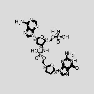 Nc1nc2c(ncn2[C@H]2CC[C@@H](COP(=O)(O)N[C@H]3C[C@H](n4cnc5c(N)ncnc54)O[C@@H]3COP(N)(=O)O)O2)c(=O)[nH]1